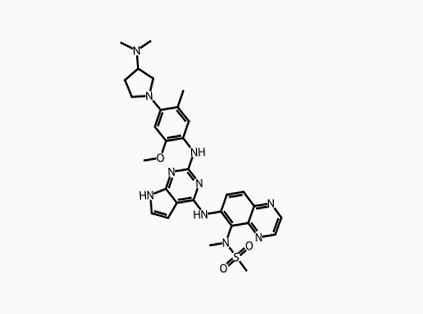 COc1cc(N2CCC(N(C)C)C2)c(C)cc1Nc1nc(Nc2ccc3nccnc3c2N(C)S(C)(=O)=O)c2cc[nH]c2n1